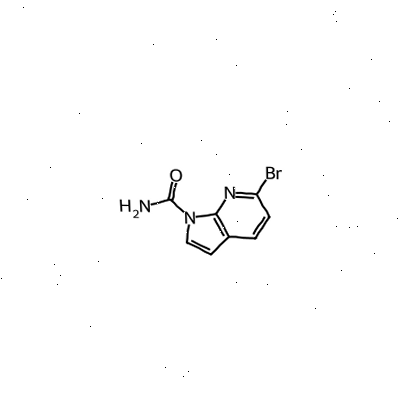 NC(=O)n1ccc2ccc(Br)nc21